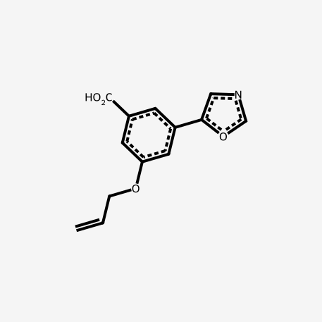 C=CCOc1cc(C(=O)O)cc(-c2cnco2)c1